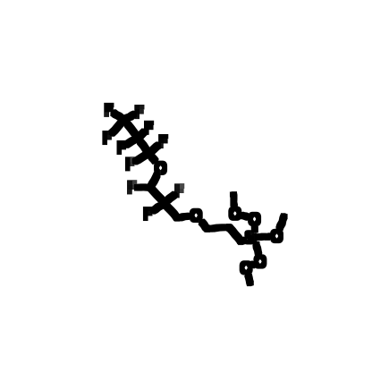 COO[Si](CCCOCC(F)(F)C(F)OC(F)(F)C(F)(F)C(F)(F)F)(OC)OOC